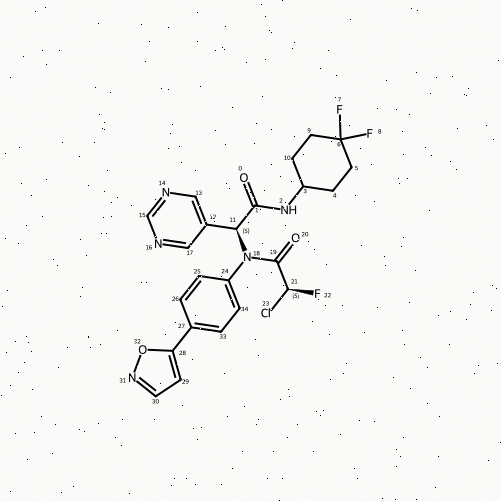 O=C(NC1CCC(F)(F)CC1)[C@H](c1cncnc1)N(C(=O)[C@@H](F)Cl)c1ccc(-c2ccno2)cc1